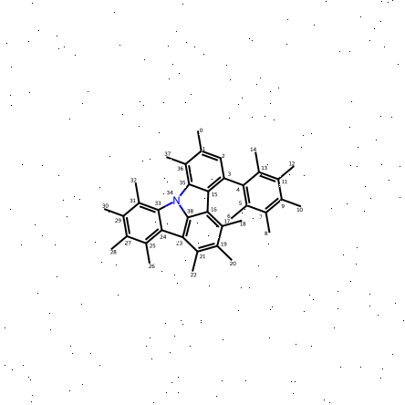 Cc1cc(-c2c(C)c(C)c(C)c(C)c2C)c2c3c(C)c(C)c(C)c4c5c(C)c(C)c(C)c(C)c5n(c2c1C)c34